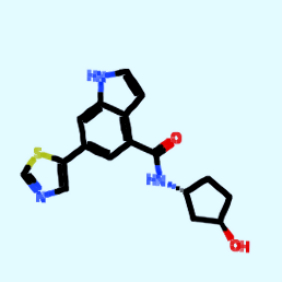 O=C(N[C@@H]1CC[C@@H](O)C1)c1cc(-c2cncs2)cc2[nH]ccc12